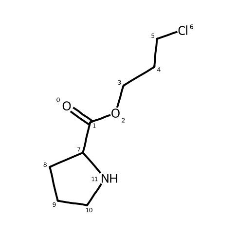 O=C(OCCCCl)C1CCCN1